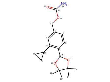 CC1(C)OB(c2ccc(COC(N)=O)cc2C2CC2)OC1(C)C